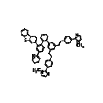 Cn1ccnc1-c1ccc(CCc2cc(CCc3ccc(-c4nccn4C)cc3)cc(-c3ccccc3-c3ccc(-c4ccccn4)cc3-c3ccc4c(c3)sc3ccccc34)c2)cc1